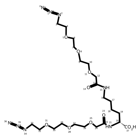 [N-]=[N+]=NCCOCCOCCOCC(=O)NCCCC[C@@H](NC(=O)COCCOCCOCCN=[N+]=[N-])C(=O)O